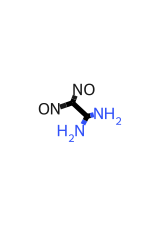 NC(N)C(N=O)N=O